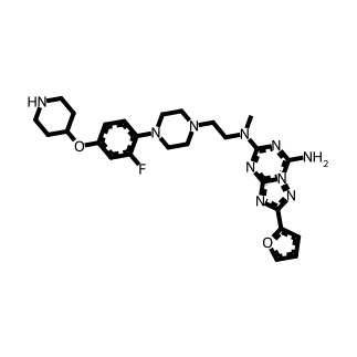 CN(CCN1CCN(c2ccc(OC3CCNCC3)cc2F)CC1)c1nc(N)n2nc(-c3ccco3)nc2n1